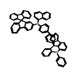 c1ccc(N2c3ccccc3C3(c4ccccc4)c4cc(-c5ccc(N(c6ccc7c(c6)C6(c8ccccc8-c8ccccc86)c6ccccc6-7)c6cccc7ccccc67)cc5)ccc4-c4cccc2c43)cc1